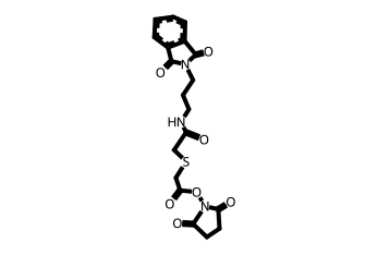 O=C(CSCC(=O)ON1C(=O)CCC1=O)NCCCN1C(=O)c2ccccc2C1=O